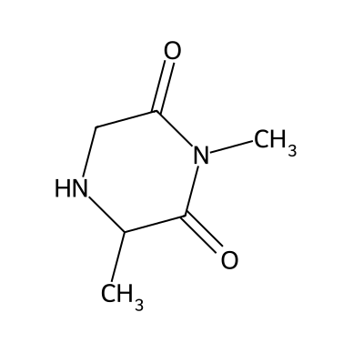 CC1NCC(=O)N(C)C1=O